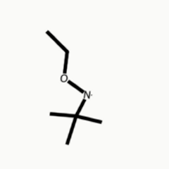 CCO[N]C(C)(C)C